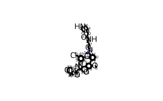 COc1cc2c(cc1-c1cccc(/C(C)=N/OCCNC(=O)CN3CCNCC3)c1)-c1c(c(C(=O)N3CCOCC3(C)C)nn1-c1cc(Cl)cc(Cl)c1)CO2